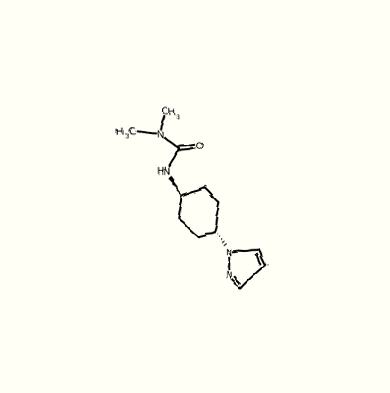 CN(C)C(=O)N[C@H]1CC[C@H](n2c[c]cn2)CC1